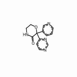 O=C1NCCOC1(c1cccnc1)c1ccncn1